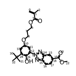 C=C(C)C(=O)OCCCOc1cc(-n2nc3ccc(C(=O)OC)cc3n2)c(O)c(C(C)(C)C)c1